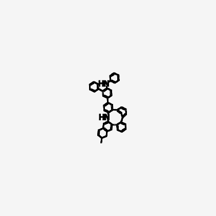 CC1C=Cc2cc3c(cc2C1)-c1ccccc1-c1cccc(c1)-c1cc(-c2ccc(Nc4ccccc4)c(-c4ccccc4)c2)ccc1N3